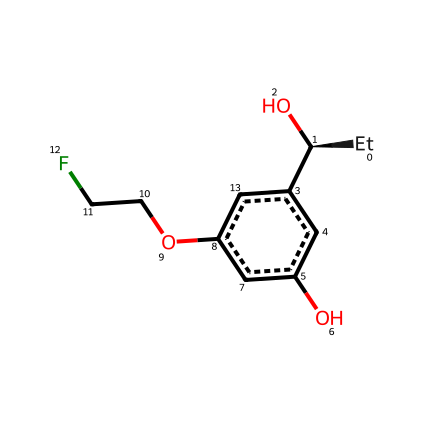 CC[C@H](O)c1cc(O)cc(OCCF)c1